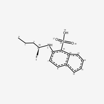 CCC[C@H](F)Nc1ccc2ccccc2c1S(=O)(=O)O